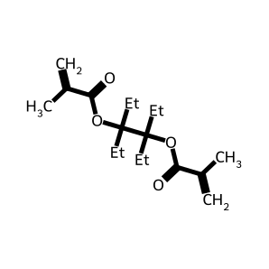 C=C(C)C(=O)OC(CC)(CC)C(CC)(CC)OC(=O)C(=C)C